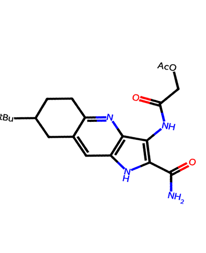 CC(=O)OCC(=O)Nc1c(C(N)=O)[nH]c2cc3c(nc12)CCC(C(C)(C)C)C3